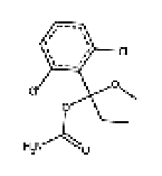 CCC(OC)(OC(N)=O)c1c(Cl)cccc1Cl